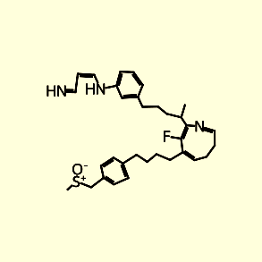 CC(CCCc1cccc(N/C=C\C=N)c1)C1=C(F)/C(CCCCc2ccc(C[S+](C)[O-])cc2)=C\CC/C=N\1